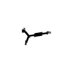 FC#CC(F)Br